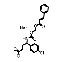 O=C([O-])CCC(NC(=O)OCOC(=O)/C=C/c1ccccc1)c1ccc(Cl)cc1.[Na+]